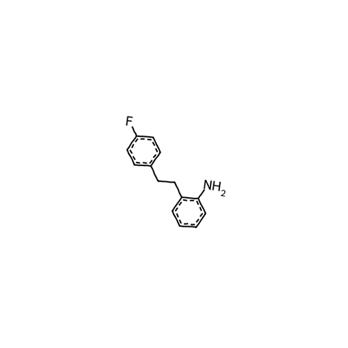 Nc1ccccc1CCc1ccc(F)cc1